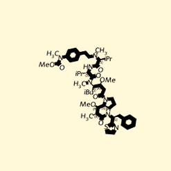 CC[C@H](C)[C@@H]([C@@H](CC(=O)N1CCC[C@H]1[C@H](OC)[C@@H](C)C(=O)N[C@@H](Cc1ccccc1)c1nccs1)OC)N(C)C(=O)[C@@H](NC(=O)[C@H](C(C)C)N(C)CCc1ccc(N(C)C(=O)OC)cc1)C(C)C